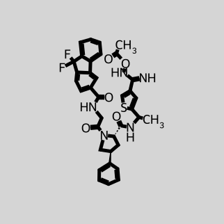 CC(=O)ONC(=N)c1csc(C(C)NC(=O)[C@@H]2C[C@@H](c3ccccc3)CN2C(=O)CNC(=O)c2ccc3c(c2)-c2ccccc2C3(F)F)c1